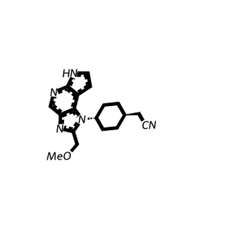 COCc1nc2cnc3[nH]ccc3c2n1[C@H]1CC[C@H](CC#N)CC1